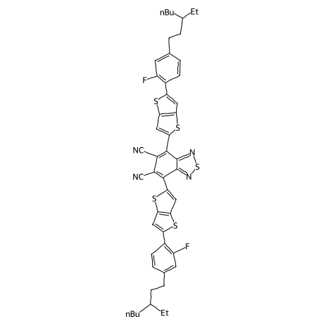 CCCCC(CC)CCc1ccc(-c2cc3sc(-c4c(C#N)c(C#N)c(-c5cc6sc(-c7ccc(CCC(CC)CCCC)cc7F)cc6s5)c5nsnc45)cc3s2)c(F)c1